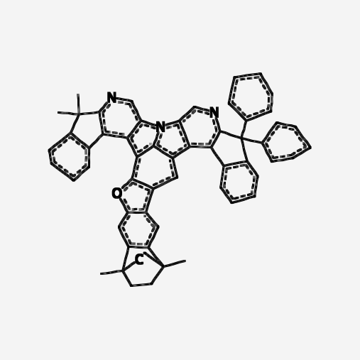 CC12CCC(C)(CC1)c1cc3c(cc12)oc1c3cc2c3c4c(ncc3n3c5cnc6c(c5c1c23)-c1ccccc1C6(C)C)C(c1ccccc1)(c1ccccc1)c1ccccc1-4